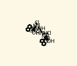 O=S(=O)(O)N(c1nc(Cl)nc(NCCNc2nc(Cl)nc(N(c3cccc4ccccc34)S(=O)(=O)O)n2)n1)c1cccc2ccccc12